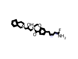 N/C(F)=C\C=C/Cc1ccc2c(c1)OCCN(CC(O)CN1CCc3ccccc3C1)C2=O